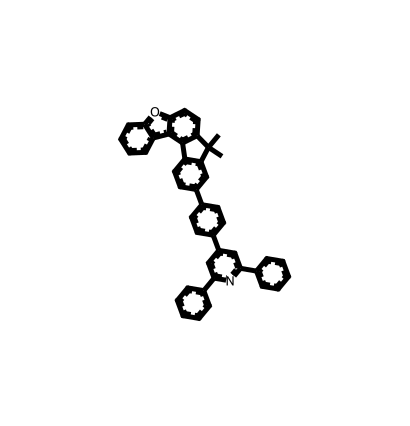 CC1(C)c2cc(-c3ccc(-c4cc(-c5ccccc5)nc(-c5ccccc5)c4)cc3)ccc2-c2c1ccc1oc3ccccc3c21